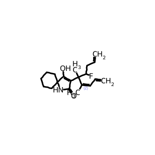 C=C/C=C(/C)C(C)(C1=C(O)C2(CCCCC2)NC1=O)C(F)CC=C